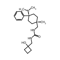 CN(C)[C@]1(c2ccccc2)CC[C@@](C)(CNC(=O)NCC2(O)CCC2)CC1